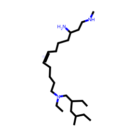 CCC(C)CC(CC)CN(CC)CCCC/C=C\CCCC(N)CCNC